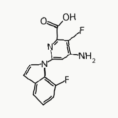 Nc1cc(-n2ccc3cccc(F)c32)nc(C(=O)O)c1F